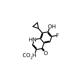 O=C(O)c1c[nH]c2c(C3CC3)c(O)c(F)cc2c1=O